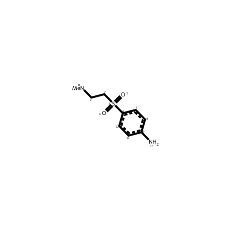 CNCCS(=O)(=O)c1ccc(N)cc1